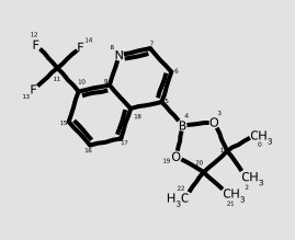 CC1(C)OB(c2ccnc3c(C(F)(F)F)cccc23)OC1(C)C